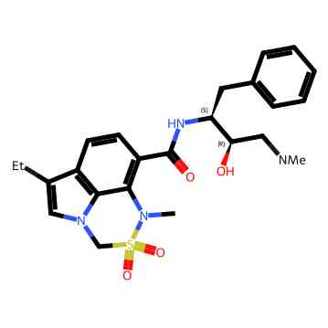 CCc1cn2c3c(c(C(=O)N[C@@H](Cc4ccccc4)[C@H](O)CNC)ccc13)N(C)S(=O)(=O)C2